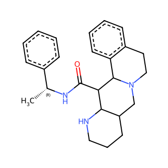 C[C@@H](NC(=O)C1C2NCCCC2CN2CCc3ccccc3C12)c1ccccc1